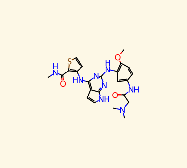 CNC(=O)c1sccc1Nc1nc(Nc2cc(NC(=O)CN(C)C)ccc2OC)nc2[nH]ccc12